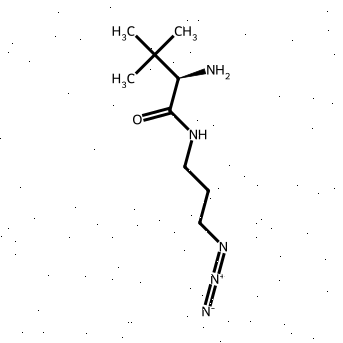 CC(C)(C)[C@@H](N)C(=O)NCCCN=[N+]=[N-]